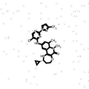 CC1C=C(Nc2nc(-n3ccc(C(F)(F)F)n3)ncc2Cl)C=C2C3=C(OCC[C@H](C4CC4)N3)C(=O)N(C)C21